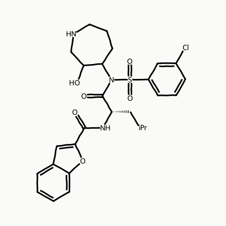 CC(C)C[C@H](NC(=O)c1cc2ccccc2o1)C(=O)N(C1CCCNCC1O)S(=O)(=O)c1cccc(Cl)c1